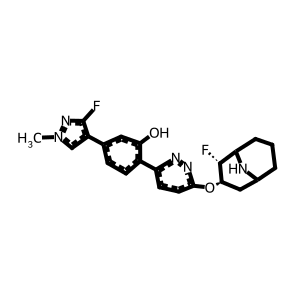 Cn1cc(-c2ccc(-c3ccc(O[C@H]4CC5CCCC(N5)[C@H]4F)nn3)c(O)c2)c(F)n1